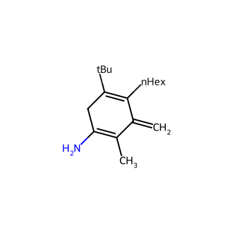 C=C1C(C)=C(N)CC(C(C)(C)C)=C1CCCCCC